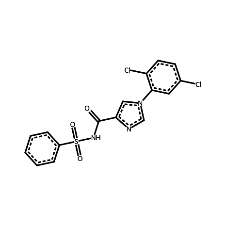 O=C(NS(=O)(=O)c1ccccc1)c1cn(-c2cc(Cl)ccc2Cl)cn1